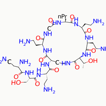 CCC[C@@H]1NC(=O)CNC(=O)[C@H](CCN)NC(=O)[C@@H](NC(=O)[C@H](CCN)NC(=O)[C@H](CO)NC(=O)[C@@H](N)CCN)CCNC(=O)[C@H]([C@@H](C)O)NC(=O)[C@H](CCN)NC(=O)[C@H](CCN)NC1=O